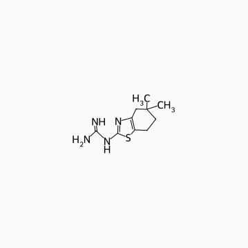 CC1(C)CCc2sc(NC(=N)N)nc2C1